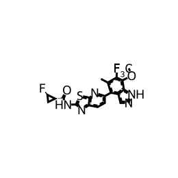 Cc1c(F)c(OC(F)(F)F)c2[nH]ncc2c1-c1ccc2nc(NC(=O)[C@@H]3C[C@@H]3F)sc2n1